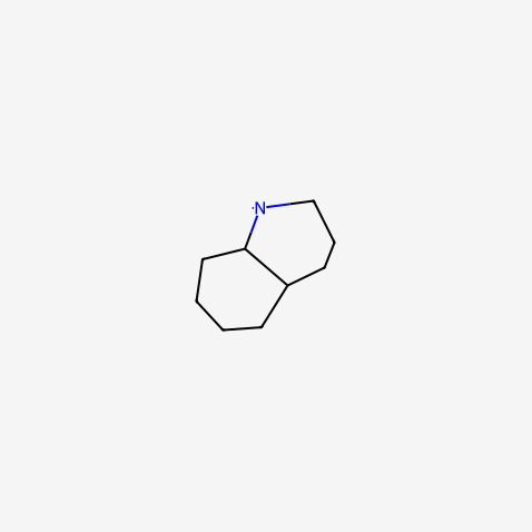 C1CCC2[N]CCCC2C1